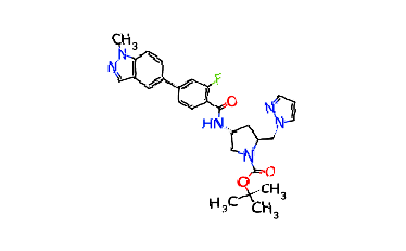 Cn1ncc2cc(-c3ccc(C(=O)N[C@@H]4C[C@@H](Cn5cccn5)N(C(=O)OC(C)(C)C)C4)c(F)c3)ccc21